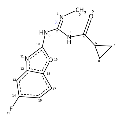 C/N=C(\NC(=O)C1CC1)Nc1nc2cc(F)ccc2o1